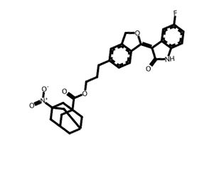 O=C1Nc2ccc(F)cc2C1=C1OCc2cc(CCCOC(=O)C34CC5CC(C3)CC([N+](=O)[O-])(C5)C4)ccc21